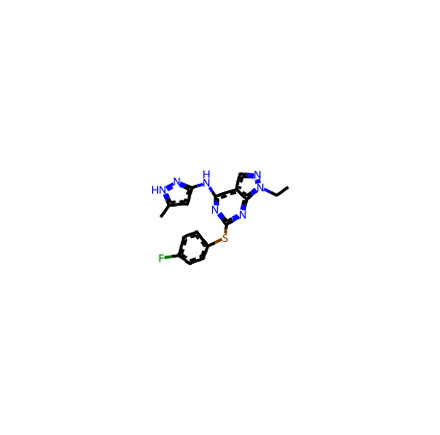 CCn1ncc2c(Nc3cc(C)[nH]n3)nc(Sc3ccc(F)cc3)nc21